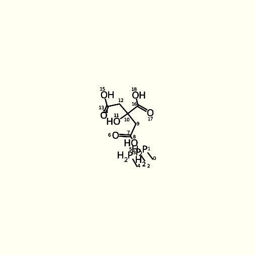 CP.CP.CP.O=C(O)CC(O)(CC(=O)O)C(=O)O